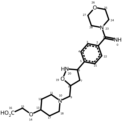 N=C(c1ccc(C2CC(CN3CCC(OCC(=O)O)CC3)ON2)cc1)N1CCOCC1